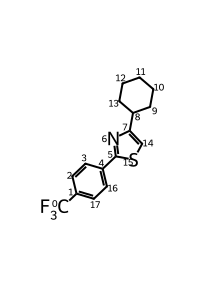 FC(F)(F)c1ccc(-c2nc(C3CCCCC3)cs2)cc1